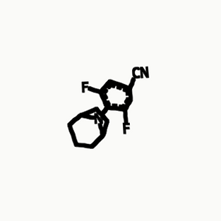 N#Cc1cc(F)c(N2C3CCCC2CC3)c(F)c1